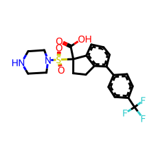 O=C(O)C1(S(=O)(=O)N2CCNCC2)CCc2c(-c3ccc(C(F)(F)F)cc3)cccc21